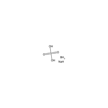 B.O=S(=O)(O)O.[NaH]